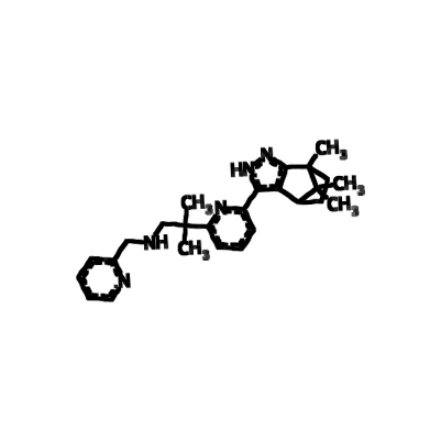 CC(C)(CNCc1ccccn1)c1cccc(-c2[nH]nc3c2C2CCC3(C)C2(C)C)n1